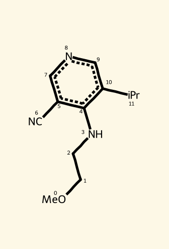 COCCNc1c(C#N)cncc1C(C)C